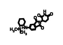 CN(C)[C@@H]1CCCC[C@@H]1Nc1ccc2c(c1)C(=O)N(C1CCC(=O)NC1=O)C2=O